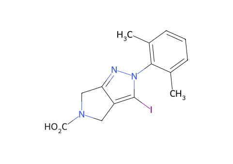 Cc1cccc(C)c1-n1nc2c(c1I)CN(C(=O)O)C2